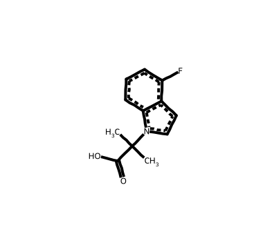 CC(C)(C(=O)O)n1ccc2c(F)cccc21